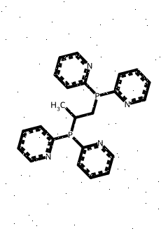 CC(CP(c1ccccn1)c1ccccn1)P(c1ccccn1)c1ccccn1